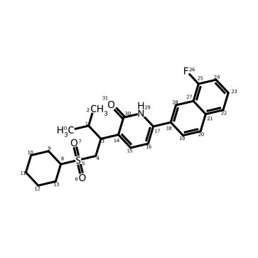 CC(C)C(CS(=O)(=O)C1CCCCC1)c1ccc(-c2ccc3cccc(F)c3c2)[nH]c1=O